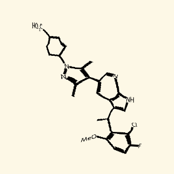 COc1ccc(F)c(Cl)c1[C@@H](C)c1c[nH]c2ncc(-c3c(C)nn(C4CCC(C(=O)O)CC4)c3C)cc12